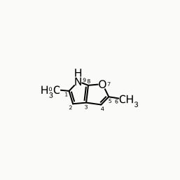 Cc1cc2cc(C)oc2[nH]1